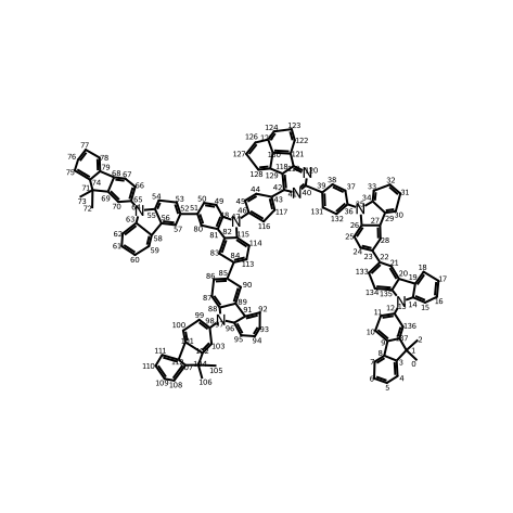 CC1(C)c2ccccc2-c2ccc(-n3c4ccccc4c4cc(-c5ccc6c(c5)c5ccccc5n6-c5ccc(-c6nc(-c7ccc(-n8c9ccc(-c%10ccc%11c(c%10)c%10ccccc%10n%11-c%10ccc%11c(c%10)C(C)(C)c%10ccccc%10-%11)cc9c9cc(-c%10ccc%11c(c%10)c%10ccccc%10n%11-c%10ccc%11c(c%10)C(C)(C)c%10ccccc%10-%11)ccc98)cc7)c7c(n6)-c6cccc8cccc-7c68)cc5)ccc43)cc21